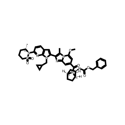 COc1cc(C(=O)N2[C@H]3CC[C@@H]2[C@H](NC(=O)OCc2ccccc2)C3)cc2nc(-c3cc4ccc(N5[C@@H](C)CCCS5(=O)=O)nc4n3CC3CC3)c(C)n12